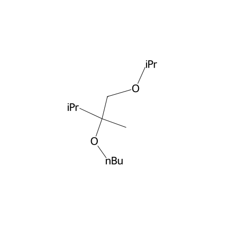 [CH2]CCCOC(C)(COC(C)C)C(C)C